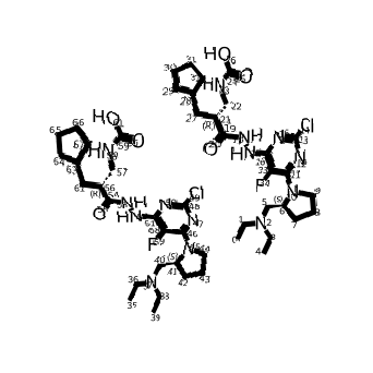 CCN(CC)C[C@@H]1CCCN1c1nc(Cl)nc(NNC(=O)[C@@H](CNC(=O)O)CC2CCCC2)c1F.CCN(CC)C[C@@H]1CCCN1c1nc(Cl)nc(NNC(=O)[C@@H](CNC(=O)O)CC2CCCC2)c1F